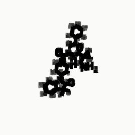 CC1(C)C(=O)N(C2CCN(C(=O)[C@H](CCc3ccccc3)NC(=O)C3(CN)CC3)CC2)c2ccccc21